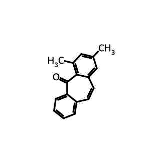 Cc1cc(C)c2c(=O)c3ccccc3ccc2c1